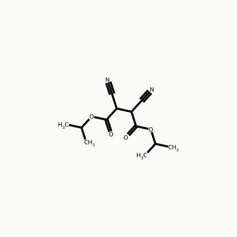 CC(C)OC(=O)C(C#N)C(C#N)C(=O)OC(C)C